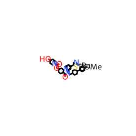 COc1ccc(C2CCC(CN(C(=O)C3CCC(OC(=O)N4CCC(O)CC4)CC3)c3cc(-c4cnc(C(C)(C)C)s4)ccn3)CC2)cc1C